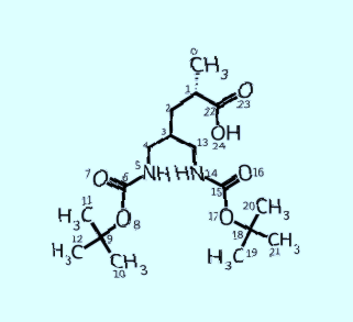 C[C@@H](CC(CNC(=O)OC(C)(C)C)CNC(=O)OC(C)(C)C)C(=O)O